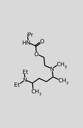 CCN(CC)C(C)CCC(C)N(C)CCOC(=O)NC(C)C